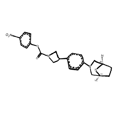 O=C(Oc1ccc([N+](=O)[O-])cc1)N1CC(c2ccc(N3C[C@H]4CC[C@@H](C3)O4)cc2)C1